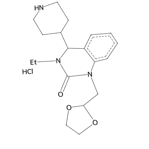 CCN1C(=O)N(CC2OCCO2)c2ccccc2C1C1CCNCC1.Cl